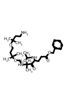 CC(C)NC(CCC(=O)OCc1ccccc1)C(=O)C(C)(C)NCOC(C)(C)CCOC(C)(C)CCN